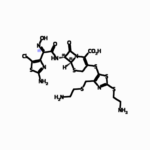 NCCSCc1nc(SCCN)sc1SC1=C(C(=O)O)N2C(=O)[C@@H](NC(=O)/C(=N\O)c3nc(N)sc3Cl)[C@@H]2SC1